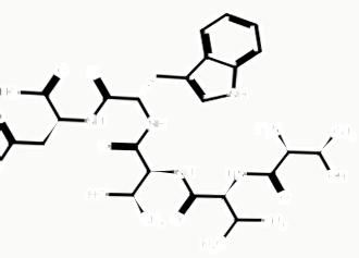 CC(C)[C@H](NC(=O)[C@@H](N)[C@@H](C)O)C(=O)N[C@H](C(=O)N[C@@H](Cc1c[nH]c2ccccc12)C(=O)N[C@@H](CC(N)=O)C(=O)O)[C@@H](C)O